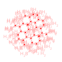 BB(B)B(B)B(B(B)B)B(B(B(B(B)B)B(B)B)B(B(B)B)B(B)B)B(B(B(B(B)B)B(B)B)B(B(B)B)B(B)B)B(B(B(B(B(B)B)B(B)B)B(B(B)B)B(B)B)B(B(B(B)B)B(B)B)B(B(B)B)B(B)B)B(B(B(B(B(B)B)B(B)B)B(B(B)B)B(B)B)B(B(B(B)B)B(B)B)B(B(B)B)B(B)B)B(B(B(B(B)B)B(B)B)B(B(B)B)B(B)B)B(B(B(B)B)B(B)B)B(B(B)B)B(B)B